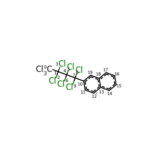 ClC(Cl)(Cl)C(Cl)(Cl)C(Cl)(Cl)C(Cl)(Cl)c1c[c]c2ccccc2c1